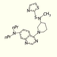 CCCN(CCC)c1ccc2c(N3CCCC(N(C)Sc4nccs4)C3)ncnc2c1